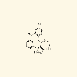 C=Cc1cc(Cl)ccc1CC1SCCNc2n[nH]c(-c3ccccn3)c21